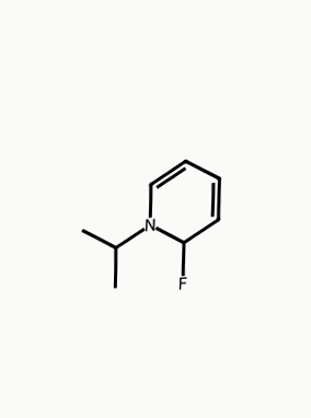 CC(C)N1C=CC=CC1F